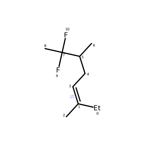 CC/C(C)=C\CC(C)C(C)(F)F